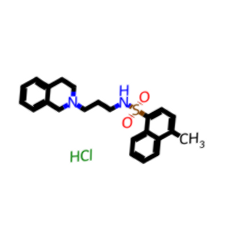 Cc1ccc(S(=O)(=O)NCCCN2CCc3ccccc3C2)c2ccccc12.Cl